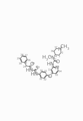 CN1CCC(N(C)C(=O)Nc2cc(Oc3ccc(NC(=S)NC(=O)Cc4ccccc4)cc3)ccn2)CC1